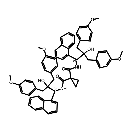 COc1ccc(CC(O)(Cc2ccc(OC)cc2)[C@@H](NC(=O)C2(C(=O)N[C@@H](c3cccc4ccccc34)C(O)(Cc3ccc(OC)cc3)Cc3ccc(OC)cc3)CC2)c2cccc3ccccc23)cc1